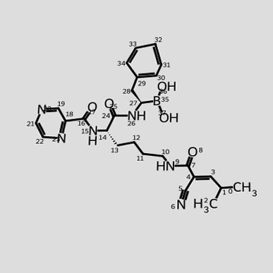 CC(C)/C=C(\C#N)C(=O)NCCCC[C@H](NC(=O)c1cnccn1)C(=O)N[C@@H](Cc1ccccc1)B(O)O